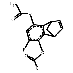 CC(=O)Oc1cc(F)c(OC(C)=O)c2c1C1C=CC2C1